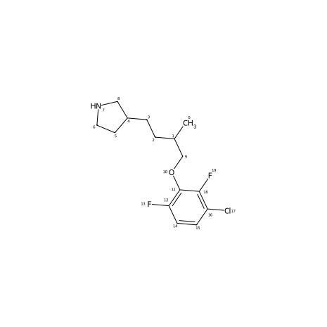 CC(CCC1CCNC1)COc1c(F)ccc(Cl)c1F